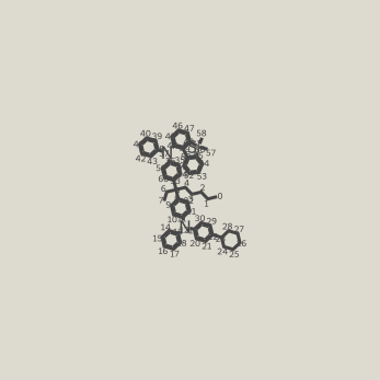 CCCCCC(CC)(c1ccc(N(c2ccccc2)c2ccc(C3CCCCC3)cc2)cc1)c1ccc(N(c2ccccc2)c2cccc3c2-c2ccccc2[Si]3(C)C)cc1